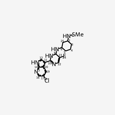 CSNC1CCCC(NC2NC(c3c[nH]c4ncc(Cl)cc34)=NC=C2F)C1